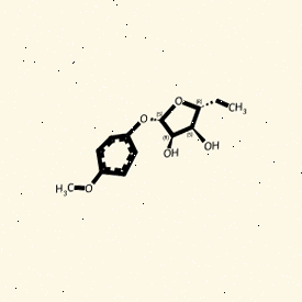 CC[C@H]1O[C@@H](Oc2ccc(OC)cc2)[C@H](O)[C@@H]1O